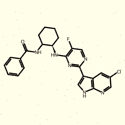 O=C(NC1CCCC[C@H]1Nc1nc(-c2c[nH]c3ncc(Cl)cc23)ncc1F)c1ccccc1